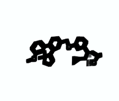 C=C(O)C[C@@H](CC1CC1)c1cccc(OCc2ccc(-c3cccc(OC)c3)c(C3=CCCC3(C)C)c2)c1